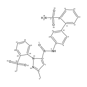 Cc1cc(C(=O)Nc2ccc(-c3ccccc3S(N)(=O)=O)cc2)n(-c2ccccc2S(C)(=O)=O)n1